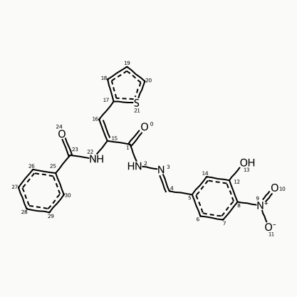 O=C(N/N=C/c1ccc([N+](=O)[O-])c(O)c1)/C(=C\c1cccs1)NC(=O)c1ccccc1